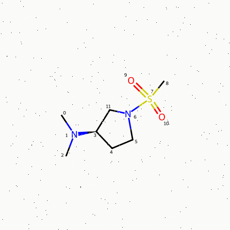 CN(C)[C@@H]1CCN(S(C)(=O)=O)C1